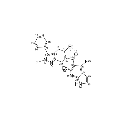 CCC1Cc2c(nn(C)c2-c2ccccc2)C(CC)N1C(=O)c1cnc2[nH]ccc2c1F